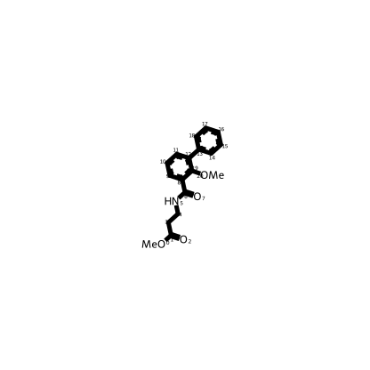 COC(=O)CCNC(=O)c1cccc(-c2ccccc2)c1OC